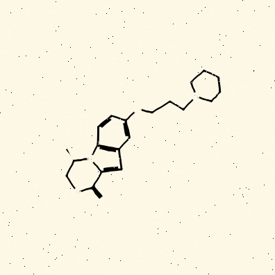 C[C@@H]1CNC(=O)c2cc3cc(OCCCN4CCCCC4)ccc3n21